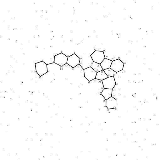 C1CCC(C2CCC3CCC(C4CCC5C6C7OC8CCCCC8C7CCC6C6(C7CCCCC7C7CCCCC76)C5C4)CC3N2)CC1